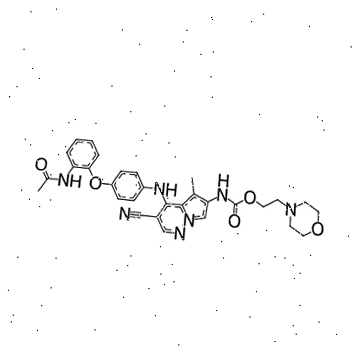 CC(=O)Nc1ccccc1Oc1ccc(Nc2c(C#N)cnn3cc(NC(=O)OCCN4CCOCC4)c(C)c23)cc1